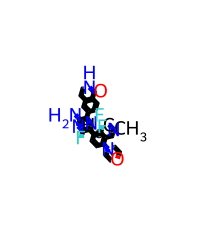 CN(C)Cc1c(N2CCOCC2)ccc(-c2nc(-c3cc4c(cc3F)C(=O)NCC4)c(N)nc2F)c1F